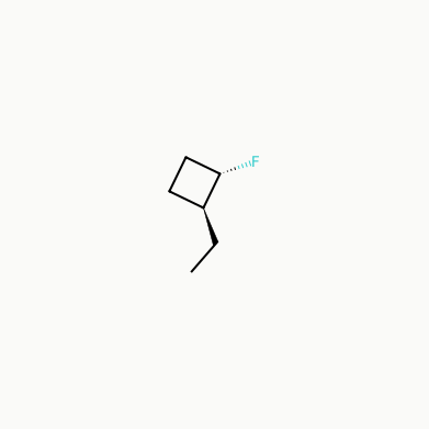 CC[C@H]1CC[C@@H]1F